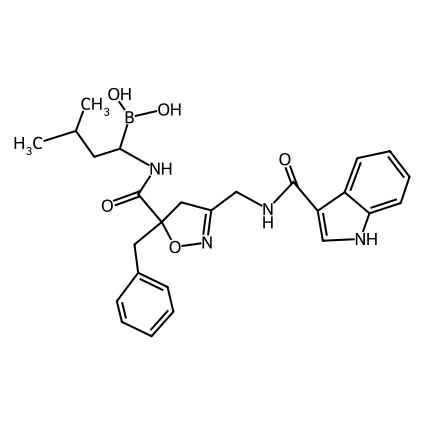 CC(C)CC(NC(=O)C1(Cc2ccccc2)CC(CNC(=O)c2c[nH]c3ccccc23)=NO1)B(O)O